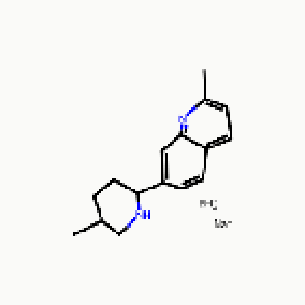 Cc1ccc2ccc(C3CCC(C)CN3)cc2n1.[BH4-].[Na+]